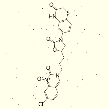 O=C1CSc2ccc(N3CC(CCCn4cc5ccc(Cl)cc5[n+]([O-])c4=O)OC3=O)cc2N1